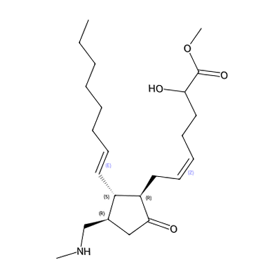 CCCCCC/C=C/[C@H]1[C@H](CNC)CC(=O)[C@@H]1C/C=C\CCC(O)C(=O)OC